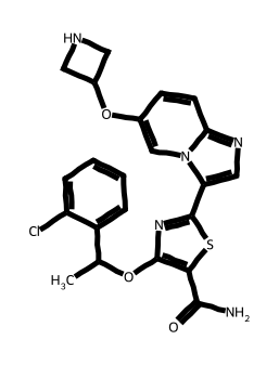 CC(Oc1nc(-c2cnc3ccc(OC4CNC4)cn23)sc1C(N)=O)c1ccccc1Cl